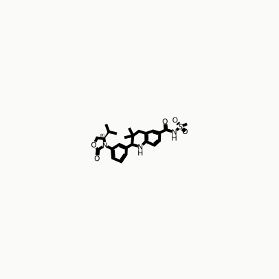 CC(C)[C@@H]1COC(=O)N1c1cccc(C2Nc3ccc(C(=O)NS(C)(=O)=O)cc3CC2(C)C)c1